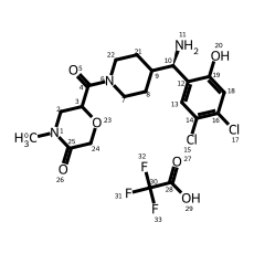 CN1CC(C(=O)N2CCC([C@@H](N)c3cc(Cl)c(Cl)cc3O)CC2)OCC1=O.O=C(O)C(F)(F)F